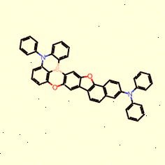 c1ccc(N(c2ccccc2)c2ccc3c(ccc4c5cc6c(cc5oc34)B3c4ccccc4N(c4ccccc4)c4cccc(c43)O6)c2)cc1